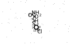 NC(=O)C(O)CCSc1ccc(Cl)cc1